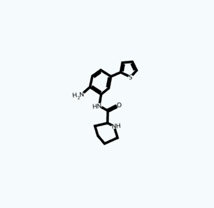 Nc1ccc(-c2cccs2)cc1NC(=O)C1CCCCN1